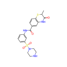 CC1Sc2ccc(C(=O)Nc3cccc(S(=O)(=O)N4CCNCC4)c3)cc2NC1=O